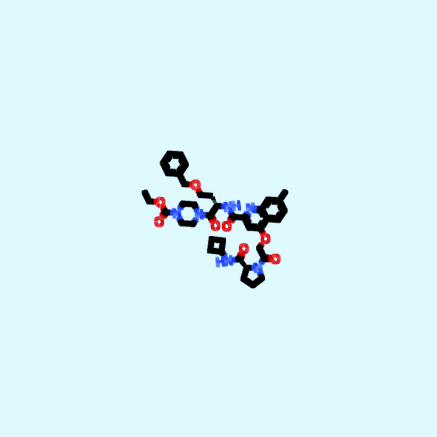 CCOC(=O)N1CCN(C(=O)[C@H](CCOCc2ccccc2)NC(=O)c2cc(OCC(=O)N3CCC[C@H]3C(=O)NC3CCC3)c3ccc(C)cc3n2)CC1